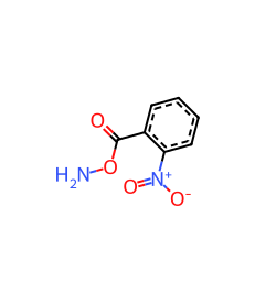 NOC(=O)c1ccccc1[N+](=O)[O-]